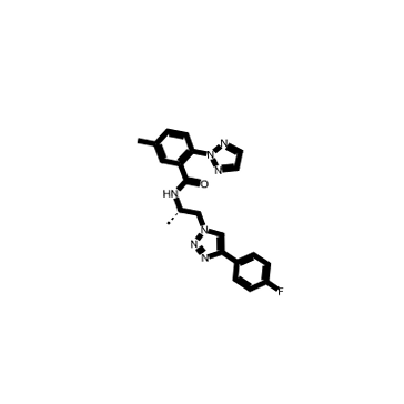 Cc1ccc(-n2nccn2)c(C(=O)N[C@@H](C)Cn2cc(-c3ccc(F)cc3)nn2)c1